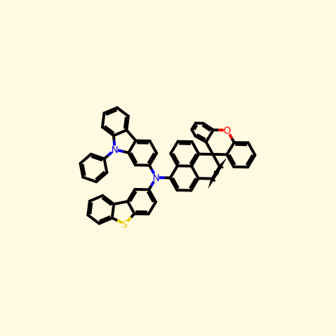 c1ccc(-n2c3ccccc3c3ccc(N(c4ccc5sc6ccccc6c5c4)c4ccc5c6c(cccc46)C4(c6ccccc6Oc6ccccc64)c4ccccc4-5)cc32)cc1